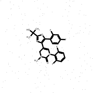 CN1CC(c2nc(C(C)(C)O)oc2-c2ccc(F)cc2F)=CN(c2c(F)cccc2F)C1=O